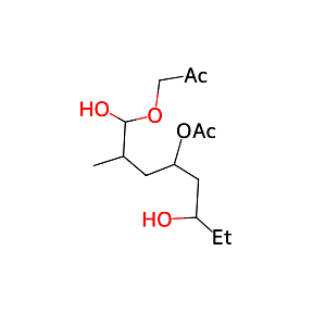 CCC(O)CC(CC(C)C(O)OCC(C)=O)OC(C)=O